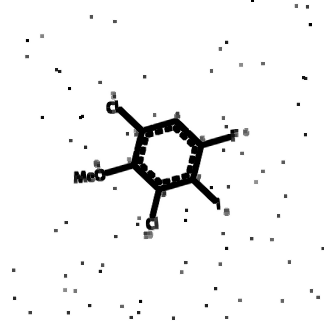 COc1c(Cl)cc(F)c(I)c1Cl